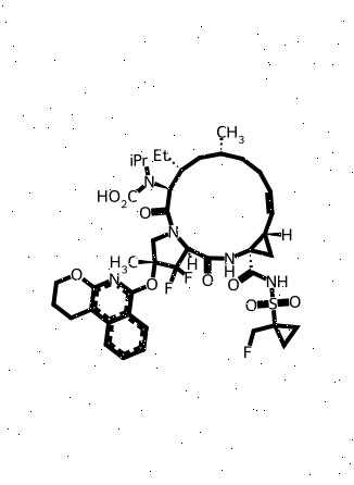 CC[C@@H]1C[C@H](C)CC/C=C\[C@@H]2C[C@@]2(C(=O)NS(=O)(=O)C2(CF)CC2)NC(=O)[C@@H]2N(C[C@@](C)(Oc3nc4c(c5ccccc35)CCCO4)C2(F)F)C(=O)[C@H]1N(C(=O)O)C(C)C